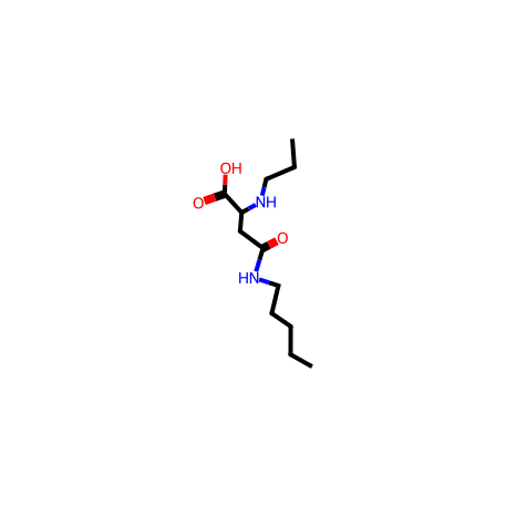 CCCCCNC(=O)CC(NCCC)C(=O)O